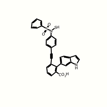 O=C(O)c1cccc(C#Cc2ccc(N(S)S(=O)(=O)c3ccccc3)cc2)c1-c1ccc2cc[nH]c2c1